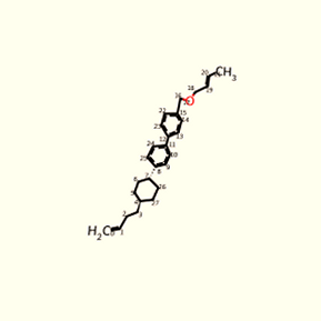 C=CCC[C@H]1CC[C@H](c2ccc(-c3ccc(COC/C=C/C)cc3)cc2)CC1